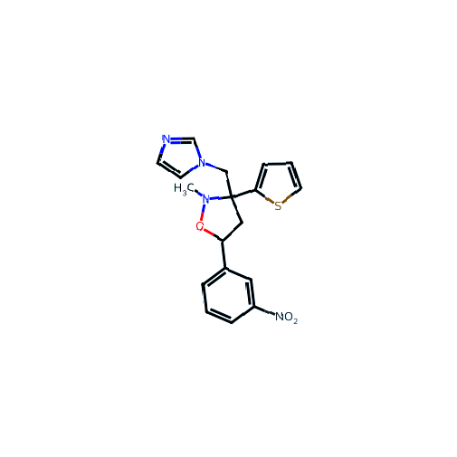 CN1OC(c2cccc([N+](=O)[O-])c2)CC1(Cn1ccnc1)c1cccs1